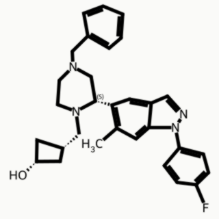 Cc1cc2c(cnn2-c2ccc(F)cc2)cc1[C@H]1CN(Cc2ccccc2)CCN1C[C@H]1C[C@@H](O)C1